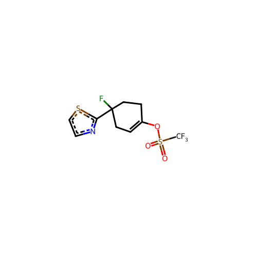 O=S(=O)(OC1=CCC(F)(c2nccs2)CC1)C(F)(F)F